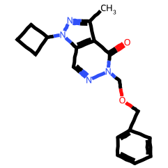 Cc1nn(C2CCC2)c2cnn(COCc3ccccc3)c(=O)c12